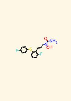 NC(=O)N(O)CC=Cc1c(F)cccc1Sc1ccc(F)cc1